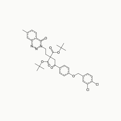 Cc1ccc2c(=O)n(CCC(CC(=O)c3ccc(OCc4ccc(Cl)c(Cl)c4)cc3)(C(=O)OC(C)(C)C)C(=O)OC(C)(C)C)nnc2c1